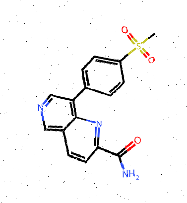 CS(=O)(=O)c1ccc(-c2cncc3ccc(C(N)=O)nc23)cc1